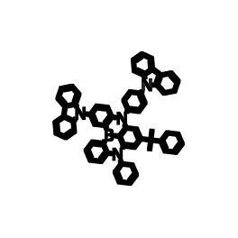 CC(C)(C1=CC2C3B(c4ccccc4N(C4C=CC=CC4)C3=C1)c1cc(N3c4ccccc4C4C=CC=CC43)ccc1N2C1=CC=C(n2c3c(c4ccccc42)C=CCC3)CC1)C1=CC=CCC1